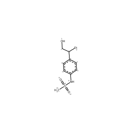 CCC(CO)c1ccc(NS(C)(=O)=O)cc1